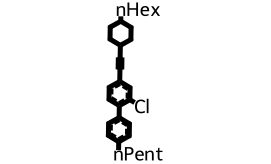 CCCCCCC1CCC(C#Cc2ccc(-c3ccc(CCCCC)cc3)c(Cl)c2)CC1